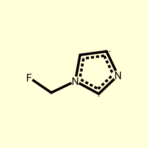 FCn1[c]n[c]c1